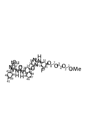 COCCOCCOCCOc1cc(F)cc(Nc2nccc(Oc3ccc(NC(=O)Nc4cc(C(C)(C)C)nn4-c4ccc(C)cc4)c4ccccc34)n2)c1